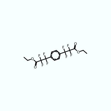 CCOC(=O)C(F)(F)C(F)(F)c1ccc(C(F)(F)C(F)(F)C(=O)OCC)cc1